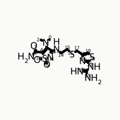 CN(C)C1=C(C(N)=O)S(=O)(=O)N=C1NCCSCc1csc(NC(=N)N)n1